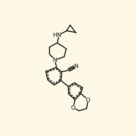 N#Cc1c(-c2ccc3c(c2)OCCO3)cccc1N1CCC(NC2CC2)CC1